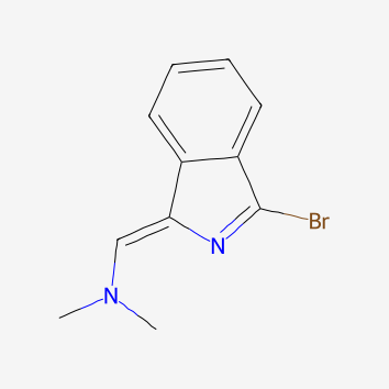 CN(C)/C=C1\N=C(Br)c2ccccc21